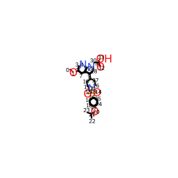 COc1cnc2c(c1)c(C1CCN(S(=O)(=O)c3ccc(OC(C)C)cc3)CC1)cn2CC(=O)O